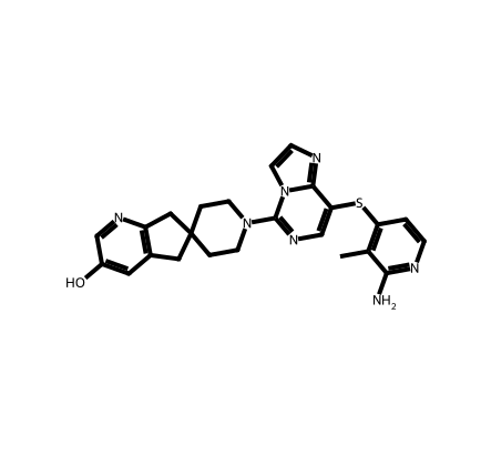 Cc1c(Sc2cnc(N3CCC4(CC3)Cc3cc(O)cnc3C4)n3ccnc23)ccnc1N